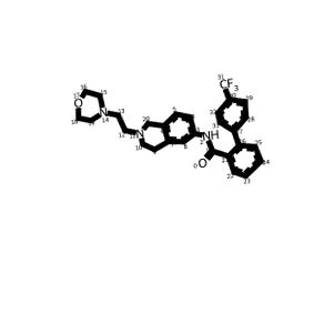 O=C(Nc1ccc2c(c1)CCN(CCN1CCOCC1)C2)c1ccccc1-c1ccc(C(F)(F)F)cc1